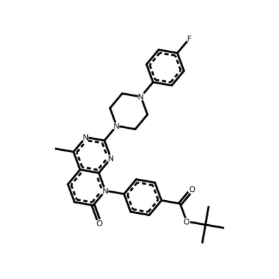 Cc1nc(N2CCN(c3ccc(F)cc3)CC2)nc2c1ccc(=O)n2-c1ccc(C(=O)OC(C)(C)C)cc1